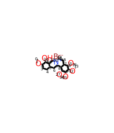 COc1ccc2cc3c4c5c(c(OC)c(OC)c4cc[n+]3cc2c1O)OCO5.[Br-]